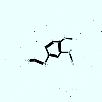 O=C=Nc1ccc(SF)c(SF)c1